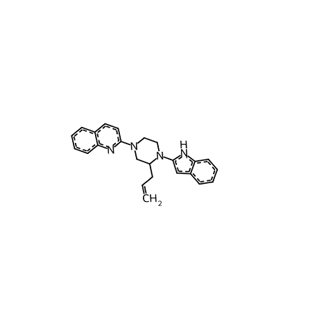 C=CCC1CN(c2ccc3ccccc3n2)CCN1c1cc2ccccc2[nH]1